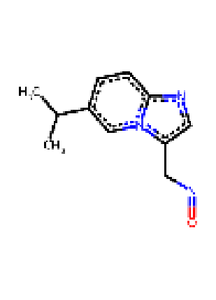 CC(C)c1ccc2ncc(CN=O)n2c1